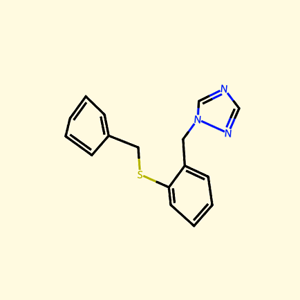 c1ccc(CSc2ccccc2Cn2cncn2)cc1